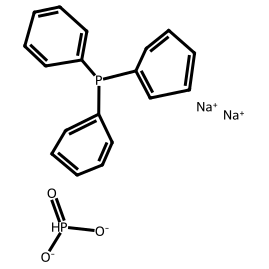 O=[PH]([O-])[O-].[Na+].[Na+].c1ccc(P(c2ccccc2)c2ccccc2)cc1